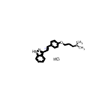 CN(C)CCCOc1ccc(/C=C/c2n[nH]c3ccccc23)cc1.Cl